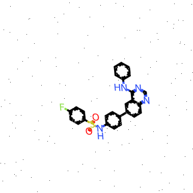 O=S(=O)(Nc1ccc(-c2ccc3ncnc(Nc4ccccc4)c3c2)cc1)c1ccc(F)cc1